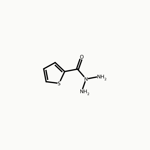 NN(N)C(=O)c1cccs1